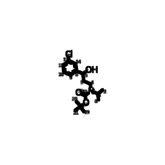 CC(C)N(CCC(O)c1cccc(Cl)c1)C(=O)OC(C)(C)C